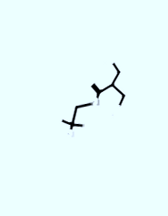 CCC(CC)C(=O)NCC(C)(C)N